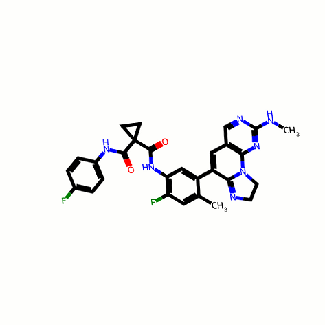 CNc1ncc2c(n1)N1CCN=C1C(c1cc(NC(=O)C3(C(=O)Nc4ccc(F)cc4)CC3)c(F)cc1C)=C2